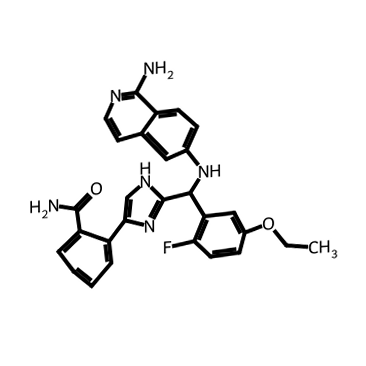 CCOc1ccc(F)c(C(Nc2ccc3c(N)nccc3c2)c2nc(-c3ccccc3C(N)=O)c[nH]2)c1